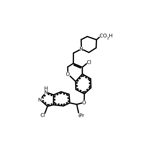 CC(C)C(Oc1ccc2c(c1)OCC(CN1CCC(C(=O)O)CC1)=C2Cl)c1ccc2[nH]nc(Cl)c2c1